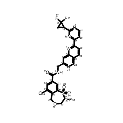 O=C(NCc1cc2nc(-c3ccnc(C4CC4(F)F)n3)ccc2cn1)c1cc(Cl)c2c(c1)S(=O)(=O)[C@@H](F)COC2